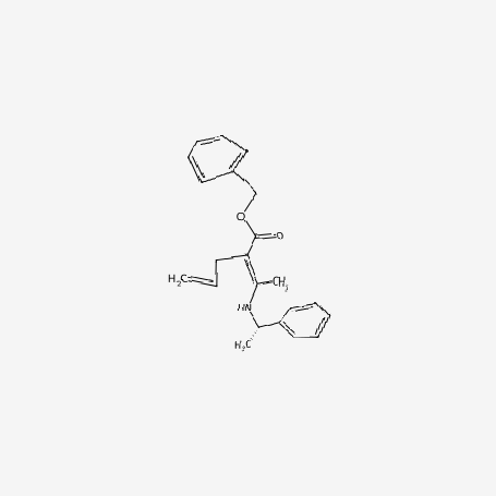 C=CC/C(C(=O)OCc1ccccc1)=C(/C)N[C@@H](C)c1ccccc1